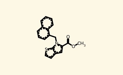 COC(=O)c1cc2ccsc2n1Cc1cccc2ccccc12